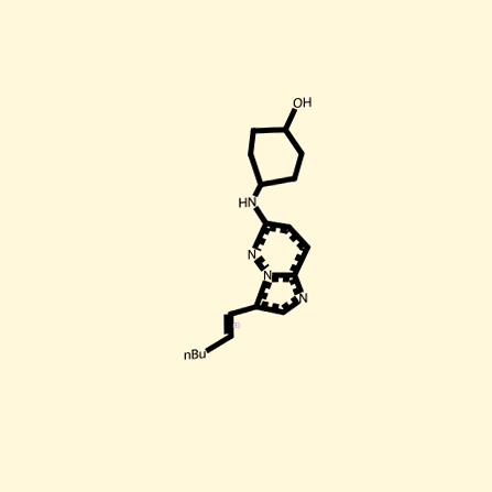 CCCC/C=C/c1cnc2ccc(NC3CCC(O)CC3)nn12